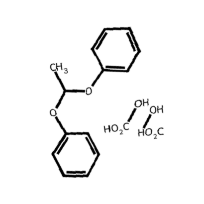 CC(Oc1ccccc1)Oc1ccccc1.O=C(O)O.O=C(O)O